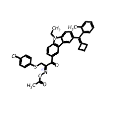 CCn1c2ccc(C(=O)/C(CSc3ccc(Cl)cc3)=N/OC(C)=O)cc2c2cc(C(=C3CCC3)c3ccccc3C)ccc21